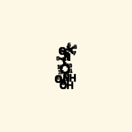 C/C(=N\[S+]([O-])C(C)(C)C)C1CCC(NC(=O)O)CC1